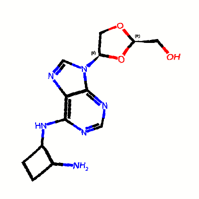 NC1CCC1Nc1ncnc2c1ncn2[C@H]1CO[C@@H](CO)O1